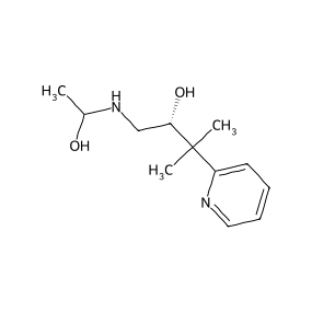 CC(O)NC[C@H](O)C(C)(C)c1ccccn1